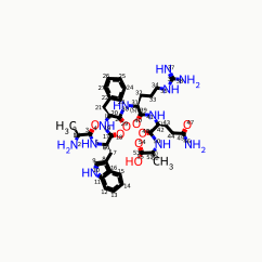 C[C@H](N)C(=O)N[C@@H](Cc1c[nH]c2ccccc12)C(=O)N[C@@H](Cc1ccccc1)C(=O)N[C@@H](CCCNC(=N)N)C(=O)N[C@@H](CCC(N)=O)C(=O)N[C@@H](C)C(=O)O